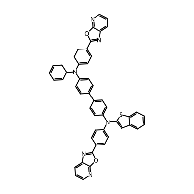 C1=CCC(N(C2=CC=C(c3nc4cccnc4o3)CC2)c2ccc(-c3ccc(N(c4ccc(-c5nc6cccnc6o5)cc4)c4cc5ccccc5s4)cc3)cc2)C=C1